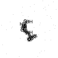 Cc1nc(NCC(=O)O)nc(C)c1C(=O)N1CC2CN(CC[C@H](NC(=O)C3CCCC3)c3ccccc3)CC2C1